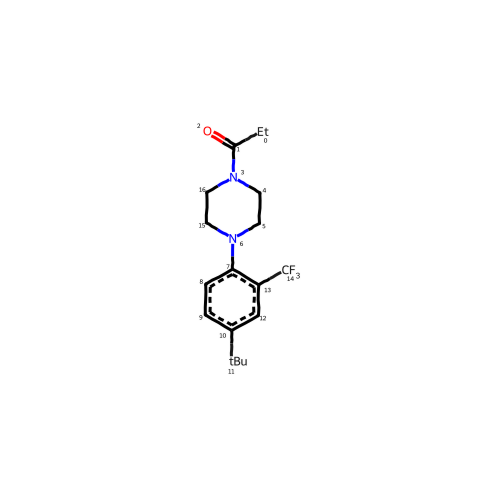 CCC(=O)N1CCN(c2ccc(C(C)(C)C)cc2C(F)(F)F)CC1